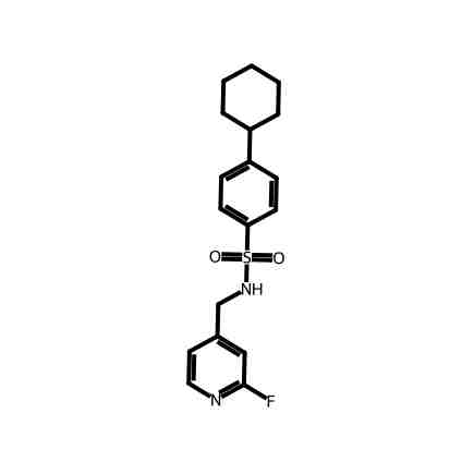 O=S(=O)(NCc1ccnc(F)c1)c1ccc(C2CCCCC2)cc1